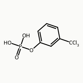 O=P(O)(O)Oc1cccc(C(Cl)(Cl)Cl)c1